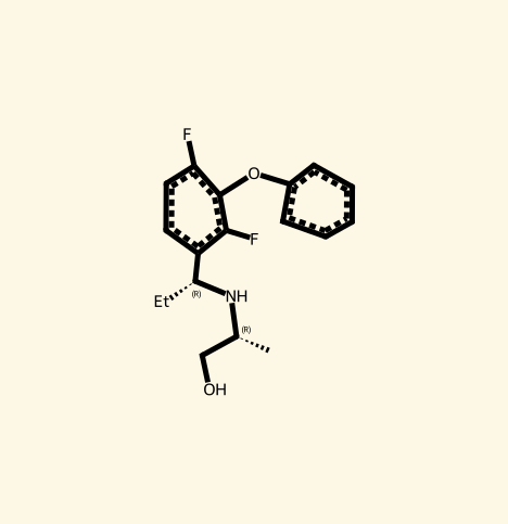 CC[C@@H](N[C@H](C)CO)c1ccc(F)c(Oc2ccccc2)c1F